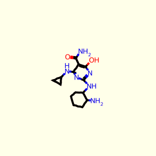 NC(=O)c1c(O)nc(NC2CCCCC2N)nc1NC1CC1